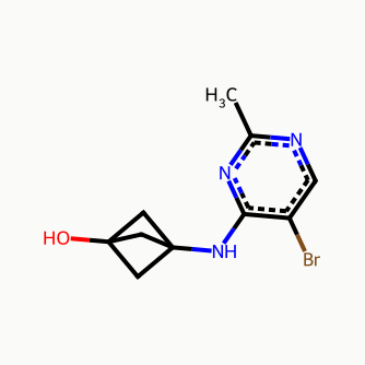 Cc1ncc(Br)c(NC23CC(O)(C2)C3)n1